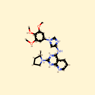 COc1cc(-n2cnc(Nc3nc(N4CCC[C@H]4C)nc4ncccc34)c2)cc(OC)c1OC